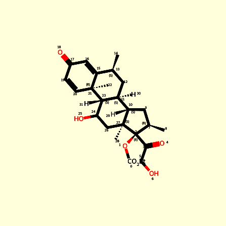 CCOC(=O)O[C@]1(C(=O)CO)[C@H](C)C[C@H]2[C@@H]3C[C@H](C)C4=CC(=O)C=C[C@]4(C)[C@H]3C(O)C[C@@]21C